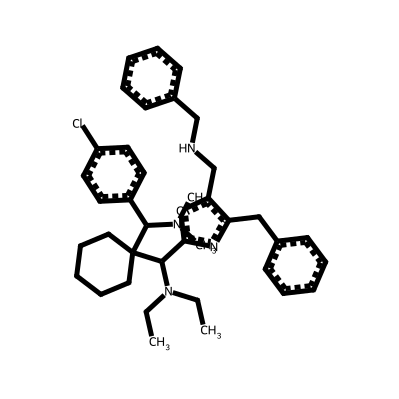 CCN(CC)C(c1nc(Cc2ccccc2)c(CNCc2ccccc2)o1)C1(C(c2ccc(Cl)cc2)N(C)C)CCCCC1